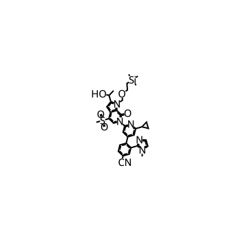 CC(O)c1cc2c(S(C)(=O)=O)cn(-c3cc(-c4ccc(C#N)cc4-c4nccn4C)cc(C4CC4)n3)c(=O)c2n1COCC[Si](C)(C)C